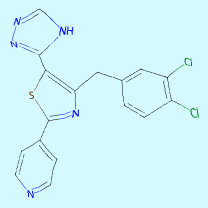 Clc1ccc(Cc2nc(-c3ccncc3)sc2-c2nnc[nH]2)cc1Cl